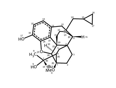 CO[C@]12CCC3(C[C@@H]1[C@@](C)(O)C(C)(C)C)[C@H]1Cc4ccc(O)c5c4[C@@]3(CCN1CC1CC1)C2O5